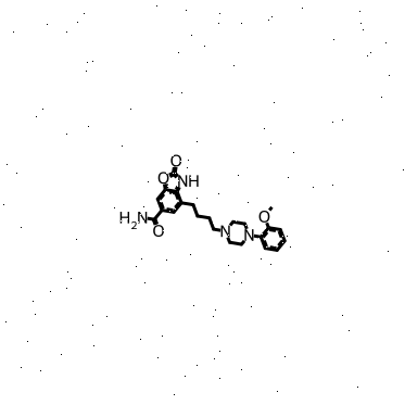 COc1ccccc1N1CCN(CCCCc2cc(C(N)=O)cc3oc(=O)[nH]c23)CC1